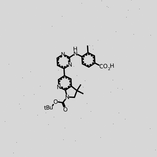 Cc1cc(C(=O)O)ccc1Nc1nccc(-c2cnc3c(c2)C(C)(C)CN3C(=O)OC(C)(C)C)n1